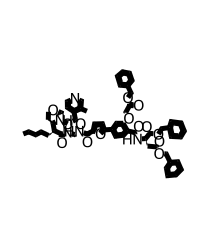 CCCCC[C@@H](C(=O)NCNC(=O)c1ccc(-c2ccc(C(=O)N[C@@H](CC(=O)OCc3ccccc3)C(=O)OCc3ccccc3)c(OCC(=O)OCc3ccccc3)c2)o1)[C@@H](CC)N(C=O)OC(=O)c1ccncc1C